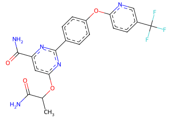 CC(Oc1cc(C(N)=O)nc(-c2ccc(Oc3ccc(C(F)(F)F)cn3)cc2)n1)C(N)=O